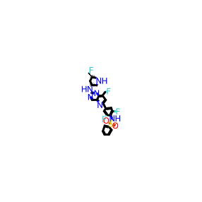 O=S(=O)(Nc1c(F)cc(-c2cc(CF)c3nc(N[C@@H]4CNC[C@H](CF)C4)ncc3n2)cc1F)c1ccccc1